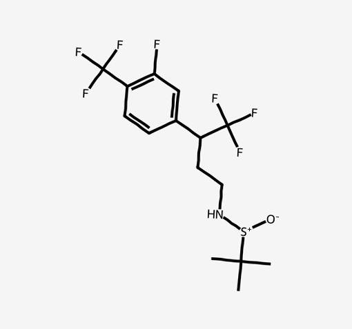 CC(C)(C)[S+]([O-])NCCC(c1ccc(C(F)(F)F)c(F)c1)C(F)(F)F